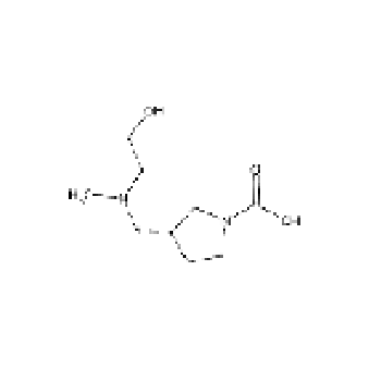 CN(CCO)C[C@H]1CCN(C(=O)O)C1